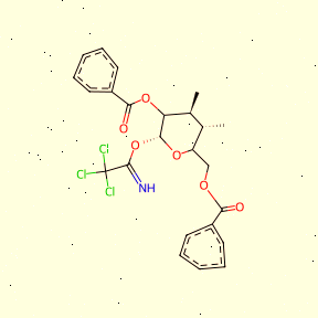 C[C@@H]1C(COC(=O)c2ccccc2)O[C@H](OC(=N)C(Cl)(Cl)Cl)C(OC(=O)c2ccccc2)[C@H]1C